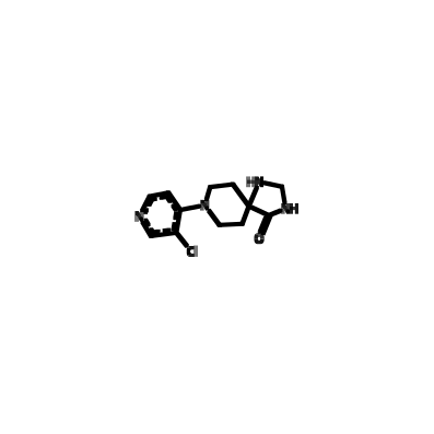 O=C1NCNC12CCN(c1ccncc1Cl)CC2